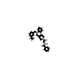 O=C(NCC(=O)N1CCC2(CC1)CCN(Cc1cccc(C(F)(F)F)c1)c1ccccc1O2)c1ccccc1